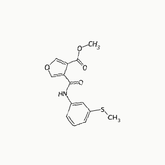 COC(=O)c1cocc1C(=O)Nc1cccc(SC)c1